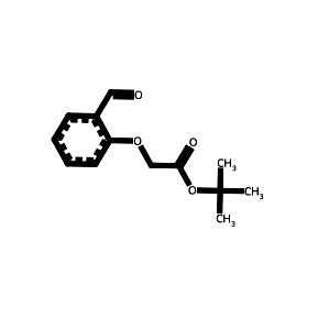 CC(C)(C)OC(=O)COc1ccccc1C=O